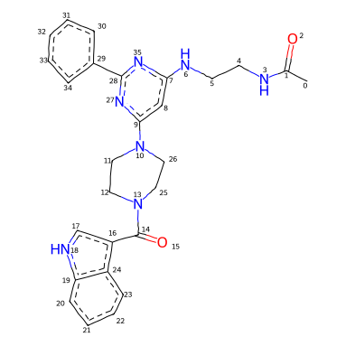 CC(=O)NCCNc1cc(N2CCN(C(=O)c3c[nH]c4ccccc34)CC2)nc(-c2ccccc2)n1